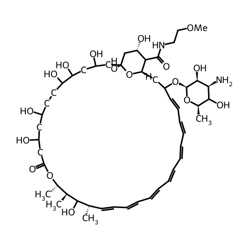 COCCNC(=O)C1[C@@H]2CC(O[C@@H]3O[C@H](C)C(O)[C@H](N)[C@@H]3O)/C=C/C=C/C=C/C=C/C=C/C=C/C=C/[C@H](C)C(O)[C@@H](C)[C@H](C)OC(=O)CC(O)CC(O)CCC(O)C(O)CC(O)CC(O)(C[C@@H]1O)O2